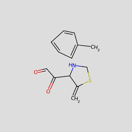 C=C1SCNC1C(=O)C=O.Cc1ccccc1